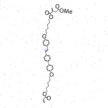 C=CC(=O)OCCCCCCOc1ccc(-c2ccc(/C=C/c3ccc(OCCCCCCOC(=O)C(=C)CC(=O)OC)cc3)cc2)cc1